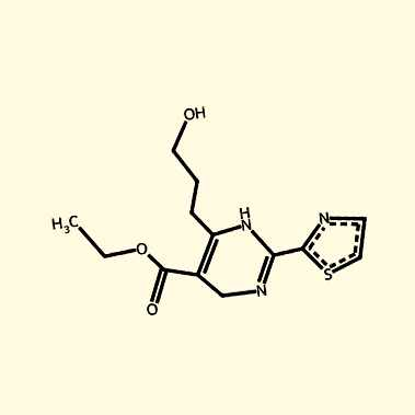 CCOC(=O)C1=C(CCCO)NC(c2nccs2)=NC1